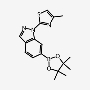 Cc1csc(-n2ncc3ccc(B4OC(C)(C)C(C)(C)O4)cc32)n1